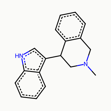 CN1Cc2ccccc2C(c2c[nH]c3ccccc23)C1